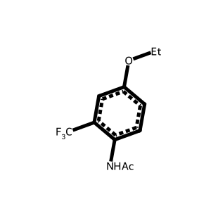 CCOc1ccc(NC(C)=O)c(C(F)(F)F)c1